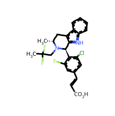 C[C@@H]1Cc2c([nH]c3ccccc23)[C@@H](c2c(F)cc(/C=C/C(=O)O)cc2Cl)N1CC(C)(F)F